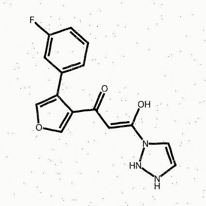 O=C(C=C(O)N1C=CNN1)c1cocc1-c1cccc(F)c1